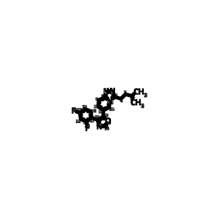 CC(C)CCc1nnc2ccc(-c3ocnc3-c3ccc(F)cc3F)cn12